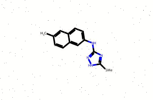 CSc1nc(Nc2ccc3cc(C)ccc3c2)n[nH]1